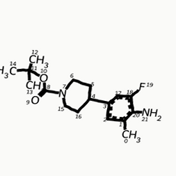 Cc1cc(C2CCN(C(=O)OC(C)(C)C)CC2)cc(F)c1N